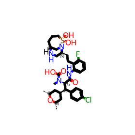 C[C@@H]1CC([C@H](c2ccc(Cl)cc2)[C@@H](C(=O)Nc2cccc(F)c2CC[C@H]2CN[C@@H]3CCCS(O)(O)N2C3)N(C)C(=O)O)C[C@H](C)O1